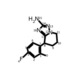 Cc1cc(F)ccc1C1CCCn2nc(N)nc21